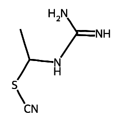 CC(NC(=N)N)SC#N